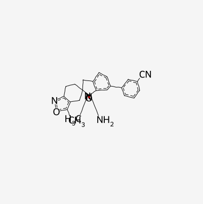 Cc1onc2c1CC1(CC2)Cc2ccc(-c3cccc(C#N)c3)cc2C12N=C(N)N(C)O2